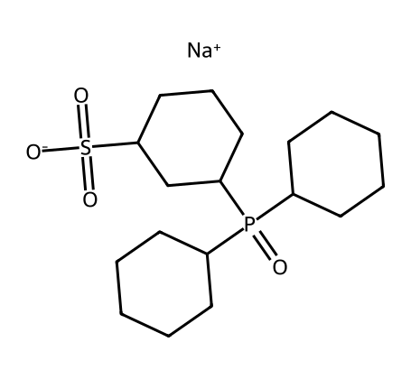 O=P(C1CCCCC1)(C1CCCCC1)C1CCCC(S(=O)(=O)[O-])C1.[Na+]